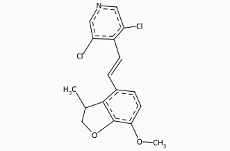 COc1ccc(/C=C/c2c(Cl)cncc2Cl)c2c1OCC2C